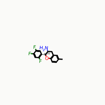 Cc1ccc2c(c1)C[C@H](N)[C@@H](c1cc(F)c(F)cc1F)O2